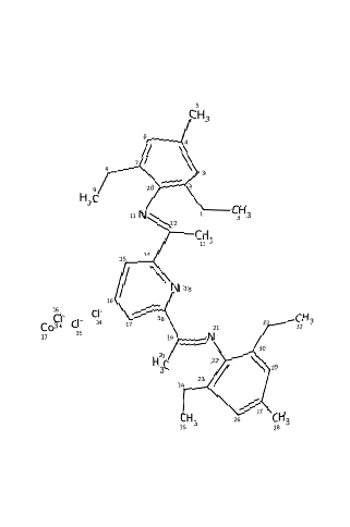 CCc1cc(C)cc(CC)c1N=C(C)c1cccc(C(C)=Nc2c(CC)cc(C)cc2CC)n1.[Cl-].[Cl-].[Cl-].[Co+3]